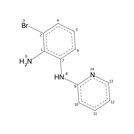 Nc1c(Br)cccc1Nc1ccccn1